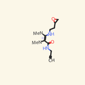 C#CCNC(=O)/C(NC)=C(/NC)NCCC1CO1